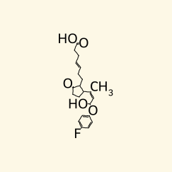 CC(=CC(O)Oc1ccc(F)cc1)C1CCC(=O)C1CCC=CCCC(=O)O